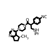 [C-]#[N+]c1ccc(C(CNC(C)C)C(=O)N2CCN(c3ncnc4c3[C@H](C)CC4)CC2)cc1